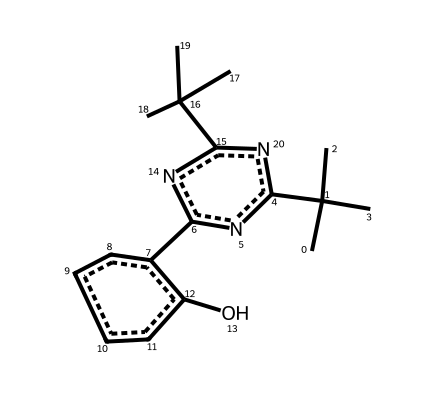 CC(C)(C)c1nc(-c2ccccc2O)nc(C(C)(C)C)n1